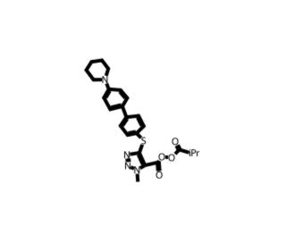 CC(C)C(=O)OOC(=O)c1c(Sc2ccc(-c3ccc(N4CCCCC4)cc3)cc2)nnn1C